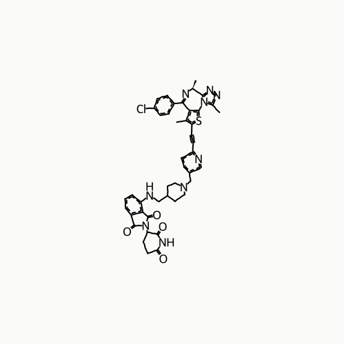 Cc1c(C#Cc2ccc(CN3CCC(CNc4cccc5c4C(=O)N(C4CCC(=O)NC4=O)C5=O)CC3)cn2)sc2c1C(c1ccc(Cl)cc1)=N[C@@H](C)c1nnc(C)n1-2